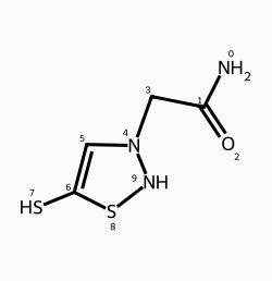 NC(=O)CN1C=C(S)SN1